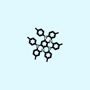 Cc1ccc(B2c3ccc(C)cc3N3c4cc(C)ccc4B4c5ccc(C)cc5N5c6cc(C)ccc6N(c6ccc(C)cc6)c6cc2c3c4c65)cc1